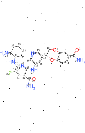 NC(=O)c1ccc2c(c1)OCC(c1cncc(Nc3nc(NC4CCCCC4N)c(F)cc3C(N)=O)c1)O2